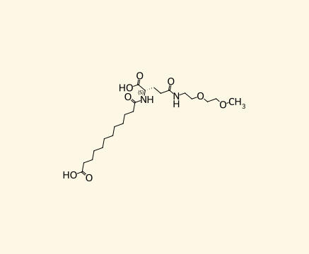 COCCOCCNC(=O)CC[C@H](NC(=O)CCCCCCCCCCC(=O)O)C(=O)O